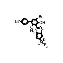 Cc1c(-c2ccc(C#N)cc2)cc(C(C)(C)C)c(O)c1C(=O)Nc1ccc(S(=O)(=O)C(F)(F)F)cc1Cl